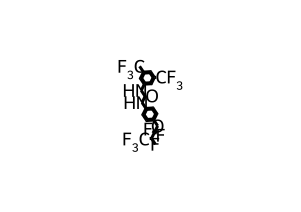 O=C(Nc1ccc(OC(F)(F)C(F)C(F)(F)F)cc1)Nc1cc(C(F)(F)F)cc(C(F)(F)F)c1